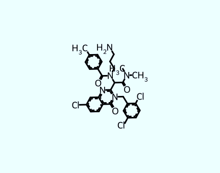 Cc1ccc(C(=O)N(CCCN)C(C(=O)N(C)C)c2nc3cc(Cl)ccc3c(=O)n2Cc2cc(Cl)ccc2Cl)cc1